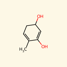 CC1=CCC(O)C=C1O